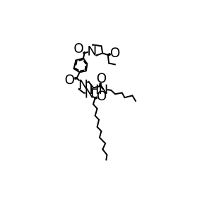 CCCCCCCCCCCC(=O)N1CCN(C(=O)c2ccc(C(=O)N3CCC(C(=O)CC)C3)cc2)CC1C(=O)NCCCCCC